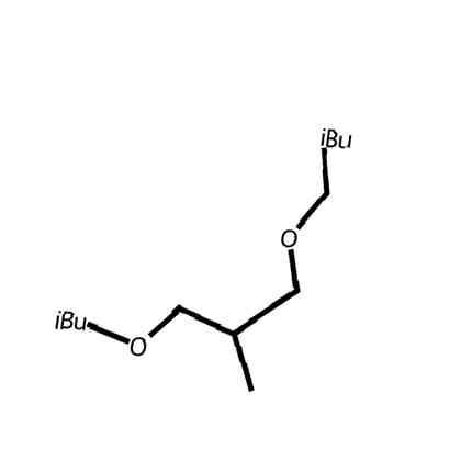 CCC(C)COCC(C)COC(C)CC